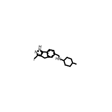 CC1CCC(NCc2ccc3c(c2)Cc2c(I)n[nH]c2-3)CC1